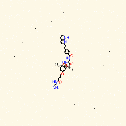 COC(=O)C(CNC(=O)c1ccc(CCc2ccc3c(n2)NCCC3)cc1)NS(=O)(=O)C1=C(C)C=C(OCCCC(=O)NCCN)C=CC1C